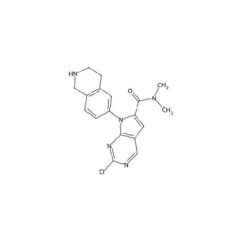 CN(C)C(=O)c1cc2cnc(Cl)nc2n1-c1ccc2c(c1)CCNC2